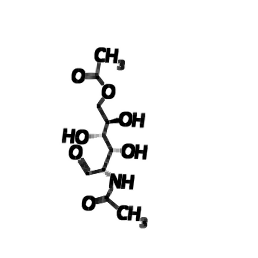 CC(=O)N[C@H](C=O)[C@@H](O)[C@H](O)[C@H](O)COC(C)=O